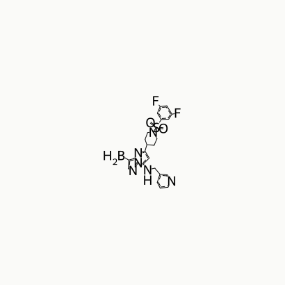 Bc1cnn2c(NCc3cccnc3)cc(C3CCN(S(=O)(=O)c4cc(F)cc(F)c4)CC3)nc12